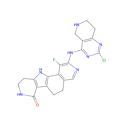 O=C1NCCc2[nH]c3c(c21)CCc1cnc(Nc2nc(Cl)nc4c2CNCC4)c(F)c1-3